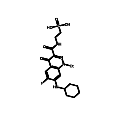 CCn1nc(C(=O)NCCP(=O)(O)O)c(=O)c2cc(F)c(NC3CCCCC3)cc21